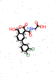 O=C(O)CNC(=O)c1c(=O)oc(O)c2ccc(-c3ccc(Cl)c(Cl)c3)cc12